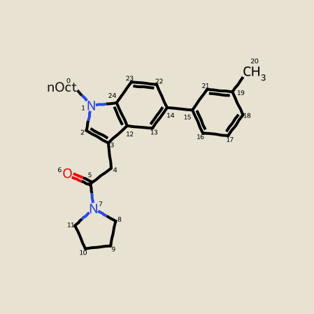 CCCCCCCCn1cc(CC(=O)N2CCCC2)c2cc(-c3cccc(C)c3)ccc21